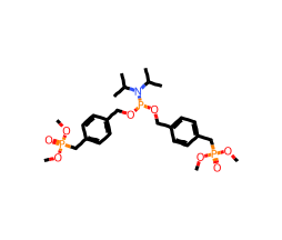 COP(=O)(Cc1ccc(COP(OCc2ccc(CP(=O)(OC)OC)cc2)N(C(C)C)C(C)C)cc1)OC